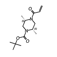 C=CC(=O)N1C[C@H](C)N(C(=O)OC(C)(C)C)C[C@@H]1C